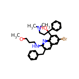 COCCCNc1nc2c(C(O)(CCN(C)C)c3ccccc3)cc(Br)cc2cc1Cc1ccccc1